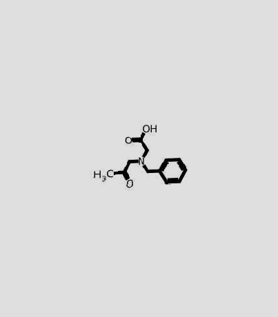 CC(=O)CN(CC(=O)O)Cc1ccccc1